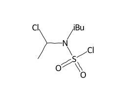 CCC(C)N(C(C)Cl)S(=O)(=O)Cl